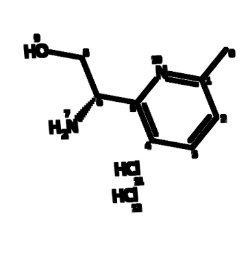 Cc1cccc([C@H](N)CO)n1.Cl.Cl